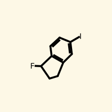 FC1CCc2cc(I)ccc21